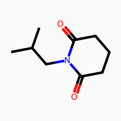 CC(C)CN1C(=O)CCCC1=O